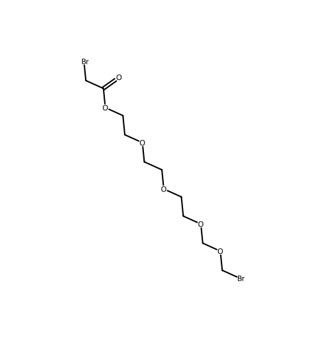 O=C(CBr)OCCOCCOCCOCOCBr